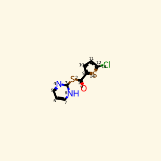 O=C(SC1N=CC=CN1)c1ccc(Cl)s1